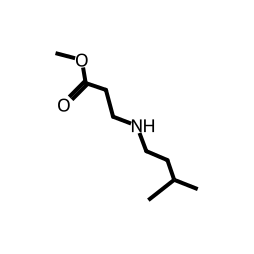 COC(=O)CCNCCC(C)C